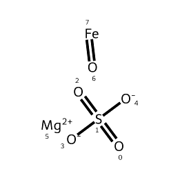 O=S(=O)([O-])[O-].[Mg+2].[O]=[Fe]